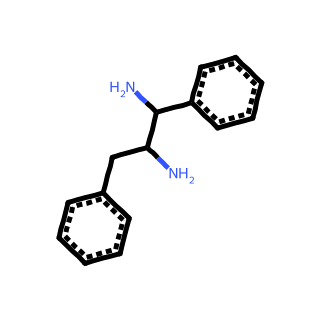 NC(Cc1ccccc1)C(N)c1ccccc1